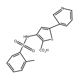 Cc1ccccc1S(=O)(=O)Nc1cc(-c2cccnc2)sc1C(=O)O